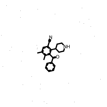 Cc1cc(C#N)c(C2CCNCC2)c(C(=O)c2ccccc2)c1C